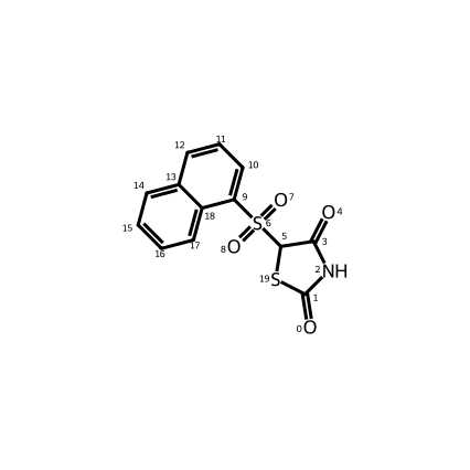 O=C1NC(=O)C(S(=O)(=O)c2cccc3ccccc23)S1